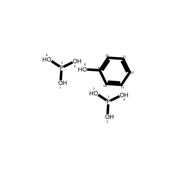 OP(O)O.OP(O)O.Oc1ccccc1